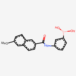 COc1ccc2cc(C(=O)Nc3cccc(B(O)O)c3)ccc2c1